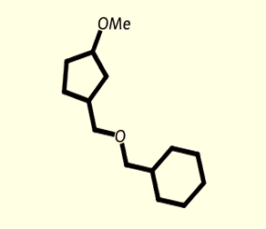 COC1CCC(COCC2CCCCC2)C1